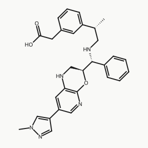 C[C@H](CN[C@H](c1ccccc1)[C@@H]1CNc2cc(-c3cnn(C)c3)cnc2O1)c1cccc(CC(=O)O)c1